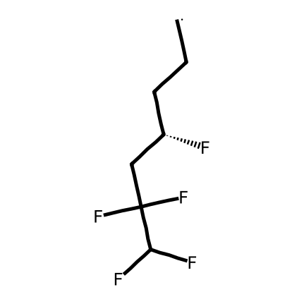 [CH2]CC[C@H](F)CC(F)(F)C(F)F